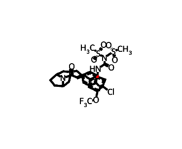 CS(=O)(=O)N(C(=O)Nc1cc(Cl)c(OC(F)(F)F)cc1C=CC(=O)N1C2CCC1CN(Cc1ccc(F)cc1)C2)S(C)(=O)=O